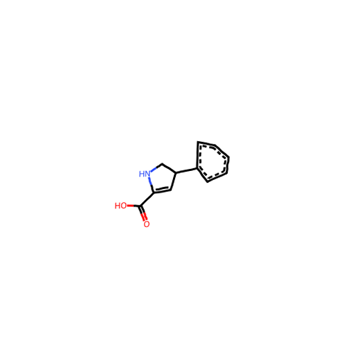 O=C(O)C1=CC(c2ccccc2)CN1